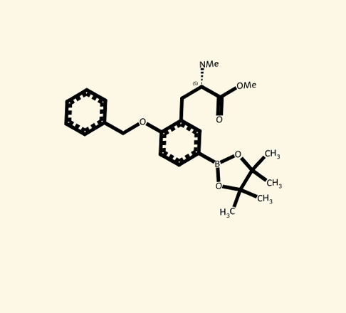 CN[C@@H](Cc1cc(B2OC(C)(C)C(C)(C)O2)ccc1OCc1ccccc1)C(=O)OC